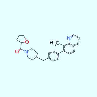 Cc1c(-c2ccc(CC3CCN(C(=O)C4CCCO4)CC3)cc2)ccc2cccnc12